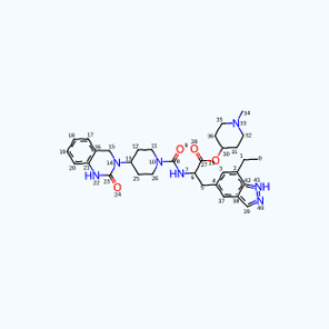 CCc1cc(CC(NC(=O)N2CCC(N3Cc4ccccc4NC3=O)CC2)C(=O)OC2CCN(C)CC2)cc2cn[nH]c12